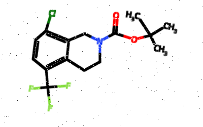 CC(C)(C)OC(=O)N1CCc2c(C(F)(F)F)ccc(Cl)c2C1